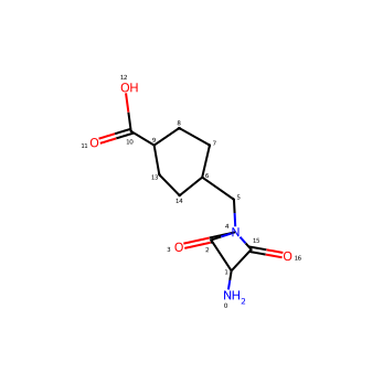 NC1C(=O)N(CC2CCC(C(=O)O)CC2)C1=O